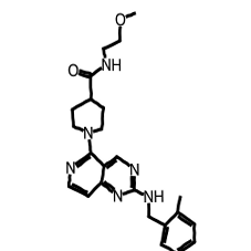 COCCNC(=O)C1CCN(c2nccc3nc(NCc4ccccc4C)ncc23)CC1